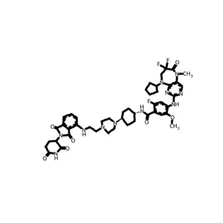 COc1cc(C(=O)N[C@H]2CC[C@H](N3CCN(CCNc4cccc5c4C(=O)N(C4CCC(=O)NC4=O)C5=O)CC3)CC2)c(F)cc1Nc1ncc2c(n1)N(C1CCCC1)CC(F)(F)C(=O)N2C